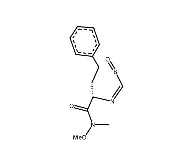 CON(C)C(=O)[C@H](CCc1ccccc1)/N=C\B=O